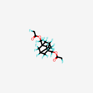 O=C(CF)OC(F)(F)C12C(F)C3(C(F)(F)OC(=O)CF)C(F)(F)C(F)(C(F)(F)C(F)(C1(F)F)C3(F)F)C2(F)F